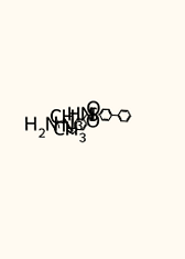 CC(C)(N)Cn1ccc2ccc(NS(=O)(=O)c3ccc(-c4ccccc4)cc3)cc21